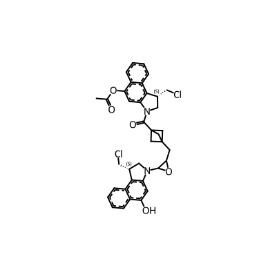 CC(=O)Oc1cc2c(c3ccccc13)[C@H](CCl)CN2C(=O)C12CC(CC3OC3N3C[C@@H](CCl)c4c3cc(O)c3ccccc43)(C1)C2